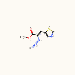 COC(=O)/C(=C/c1cncs1)N=[N+]=[N-]